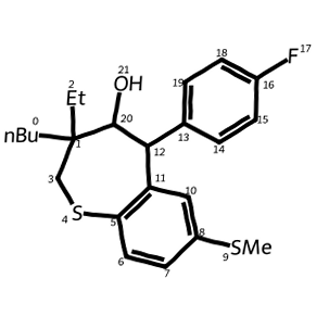 CCCCC1(CC)CSc2ccc(SC)cc2C(c2ccc(F)cc2)C1O